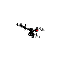 CCC(C)(C)C(=O)C(=O)N1CCCC[C@H]1C(=O)O[C@H](CCc1ccc(OC)c(OC)c1)c1cccc(OCCNC(=O)CCCOS(C)(=O)=O)c1